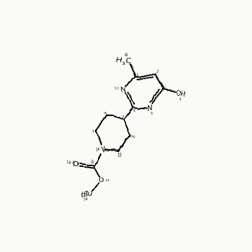 Cc1cc(O)nc(C2CCN(C(=O)OC(C)(C)C)CC2)n1